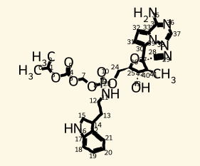 CC(C)OC(=O)OCOP(=O)(NCCC1CNc2ccccc21)OC[C@H]1O[C@@](C#N)(c2ccc3c(N)ncnn23)[C@@H](C)[C@@H]1O